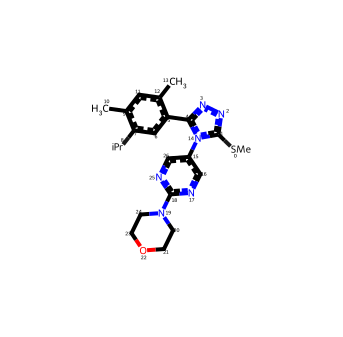 CSc1nnc(-c2cc(C(C)C)c(C)cc2C)n1-c1cnc(N2CCOCC2)nc1